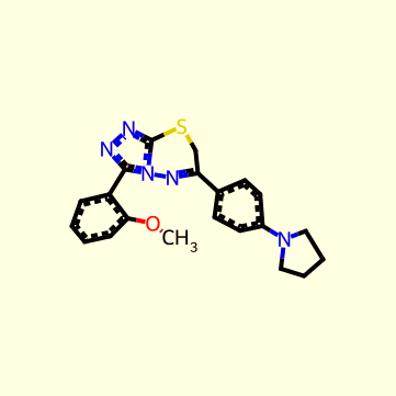 COc1ccccc1-c1nnc2n1N=C(c1ccc(N3CCCC3)cc1)CS2